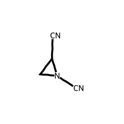 N#CC1CN1C#N